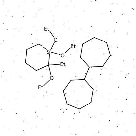 C1CCCC(C2CCCCCC2)CC1.CCOC1(CC)CCCC[Si]1(OCC)OCC